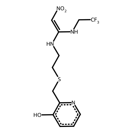 O=[N+]([O-])C=C(NCCSCc1ncccc1O)NCC(F)(F)F